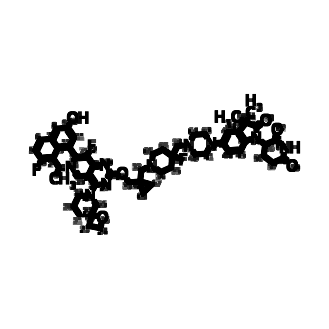 CCc1c(F)ccc2cc(O)cc(-c3ncc4c(N5CCC[C@]6(CCO6)C5)nc(OCC5(CN6CCC(F)(CN7CCN(c8ccc9c(c8)C(C)(C)C(=O)N9C8CCC(=O)NC8=O)CC7)CC6)CC5)nc4c3F)c12